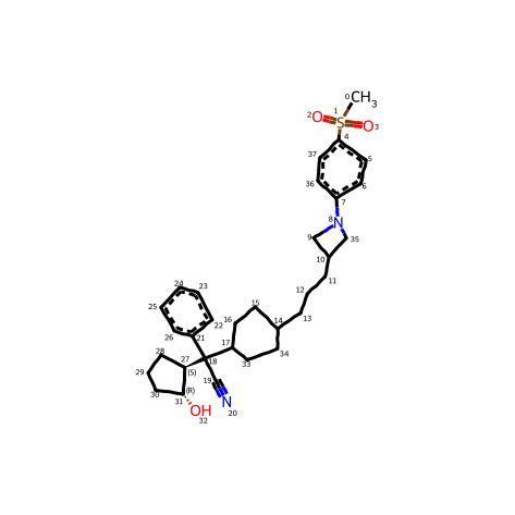 CS(=O)(=O)c1ccc(N2CC(CCCC3CCC(C(C#N)(c4ccccc4)[C@@H]4CCC[C@H]4O)CC3)C2)cc1